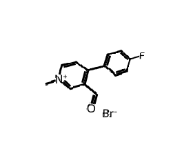 C[n+]1ccc(-c2ccc(F)cc2)c(C=O)c1.[Br-]